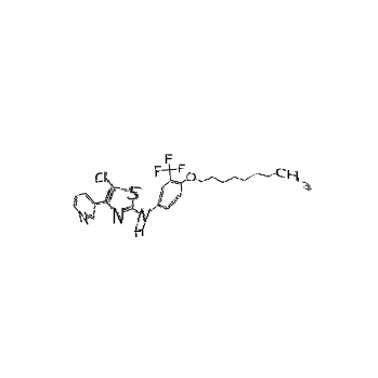 CCCCCCCCOc1ccc(Nc2nc(-c3cccnc3)c(Cl)s2)cc1C(F)(F)F